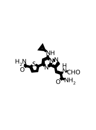 NC(=O)C1=CCC(c2cc(NC3CC3)n3ncc(/C=C(\NC=O)C(N)=O)c3n2)S1